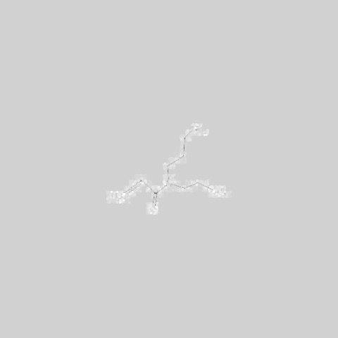 C=CC(=O)N(CCC)CCCN